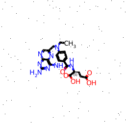 CCN(Cc1cnc2nc(N)nc(N)c2n1)c1ccc(C(=O)N[C@@H](CCC(=O)O)C(=O)O)cc1